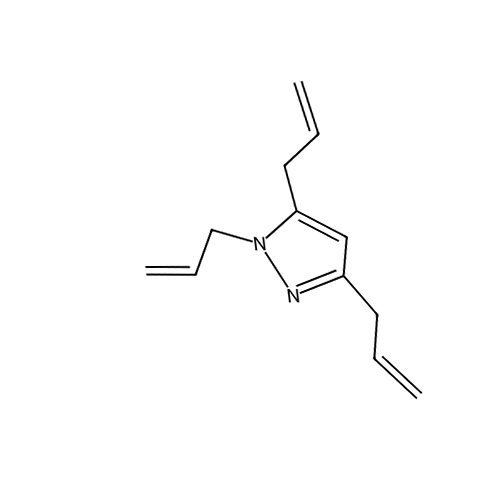 C=CCc1cc(CC=C)n(CC=C)n1